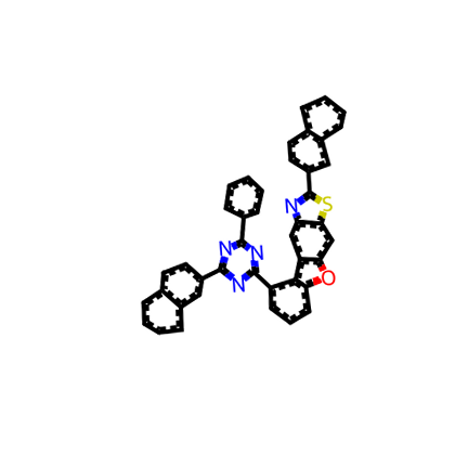 c1ccc(-c2nc(-c3ccc4ccccc4c3)nc(-c3cccc4oc5cc6sc(-c7ccc8ccccc8c7)nc6cc5c34)n2)cc1